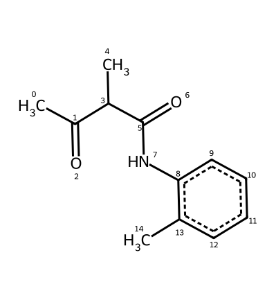 CC(=O)C(C)C(=O)Nc1ccccc1C